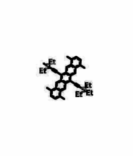 CC[Si](C)(C#Cc1c2cc3c(C)ccc(C)c3cc2c(C#C[Si](CC)(CC)CC)c2cc3c(C)ccc(C)c3cc12)CC